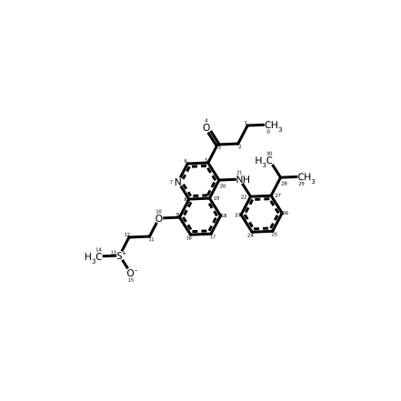 CCCC(=O)c1cnc2c(OCC[S+](C)[O-])cccc2c1Nc1ccccc1C(C)C